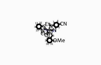 CCNc1ccc(C#N)cc1/N=C1\S/C(=C2\Sc3ccccc3N2C)C(=O)N1Cc1ccccc1OC